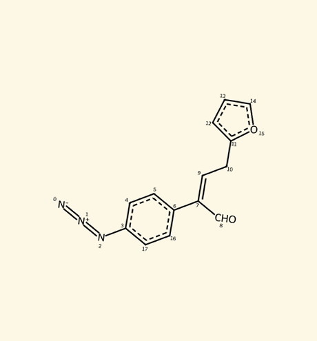 [N-]=[N+]=Nc1ccc(C(C=O)=CCc2ccco2)cc1